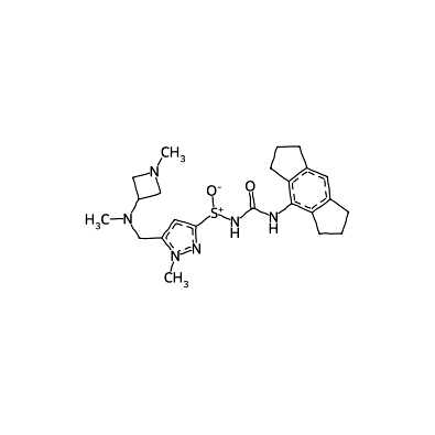 CN1CC(N(C)Cc2cc([S+]([O-])NC(=O)Nc3c4c(cc5c3CCC5)CCC4)nn2C)C1